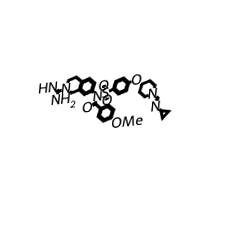 COc1ccc(C(=O)N(c2ccc3c(c2)CN(C(=N)N)CC3)S(=O)(=O)c2ccc(OC3CCN(C=NC4CC4)CC3)cc2)cc1